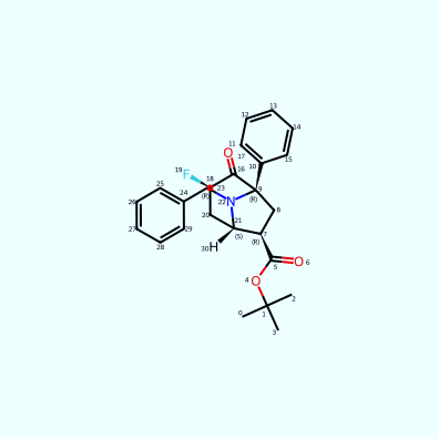 CC(C)(C)OC(=O)[C@@H]1C[C@@]2(c3ccccc3)C(=O)[C@H](F)C[C@@H]1N2Cc1ccccc1